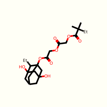 CCC1C2(O)CC3CC(O)(C2)CC1(OC(=O)COC(=O)COC(=O)C(C)(C)CC)C3